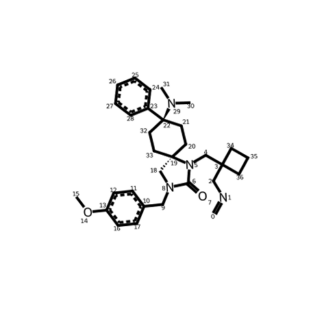 C=NCC1(CN2C(=O)N(Cc3ccc(OC)cc3)C[C@]23CC[C@](c2ccccc2)(N(C)C)CC3)CCC1